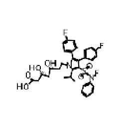 CC(C)c1c(S(=O)(=O)N(F)c2ccccc2)c(-c2ccc(F)cc2)c(-c2ccc(F)cc2)n1CC[C@@H](O)C[C@@H](O)CC(=O)O